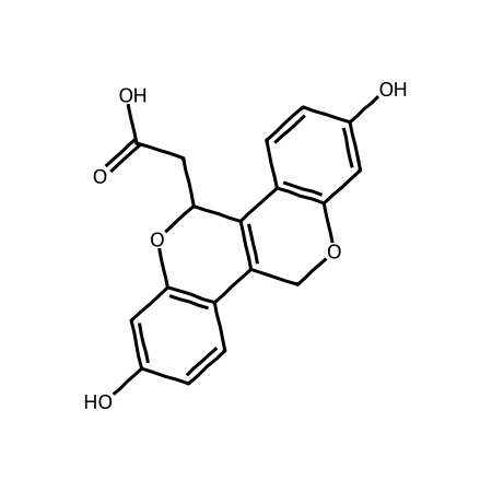 O=C(O)CC1Oc2cc(O)ccc2C2=C1c1ccc(O)cc1OC2